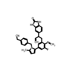 C=CC(Cc1cc(-c2ccc(C)n2Cc2ccc(CC#N)cc2)cc(F)c1N=C)c1ccc2[nH]c(=O)[nH]c2c1